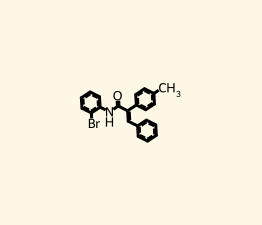 Cc1ccc(/C(=C\c2ccccc2)C(=O)Nc2ccccc2Br)cc1